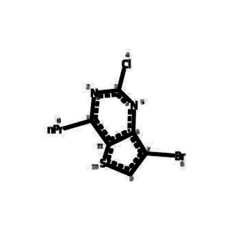 [CH2]CCc1nc(Cl)nc2c(Br)csc12